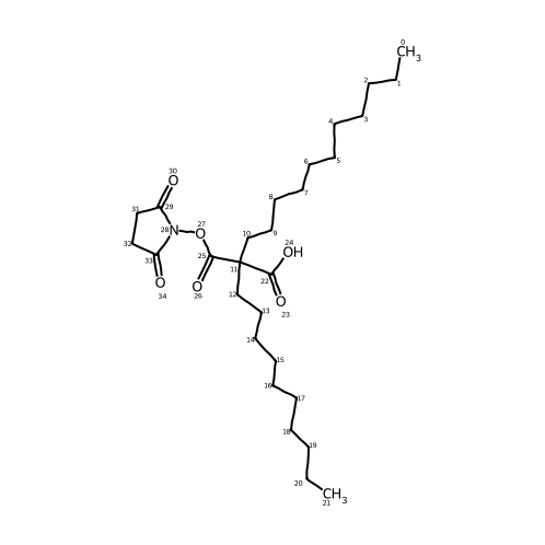 CCCCCCCCCCCC(CCCCCCCCCC)(C(=O)O)C(=O)ON1C(=O)CCC1=O